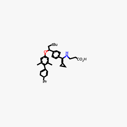 Cc1cc(OC(CC(C)(C)C)c2ccc(C(NCCC(=O)O)=C3CC3)cc2)cc(C)c1C1=CCC(C(C)C)C=C1